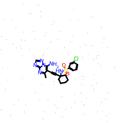 Cc1nc2ncnn2c(N)c1C#CC1(NS(=O)(=O)c2cccc(Cl)c2)CCCCC1